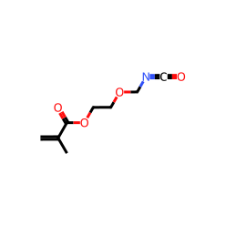 C=C(C)C(=O)OCCOCN=C=O